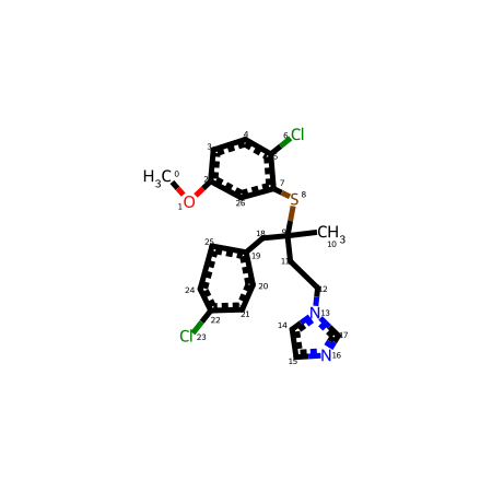 COc1ccc(Cl)c(SC(C)(CCn2ccnc2)Cc2ccc(Cl)cc2)c1